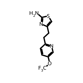 Nc1nc(CCc2ccc(OC(F)(F)F)cn2)cs1